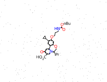 CCCCOC(=O)NCCCOc1cc2c(cc1C1CC1)-c1cc(=O)c(C(=O)O)cn1[C@H](C(C)C)CO2